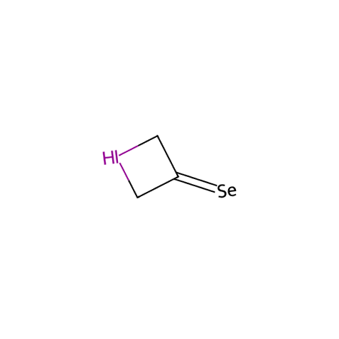 [Se]=C1C[IH]C1